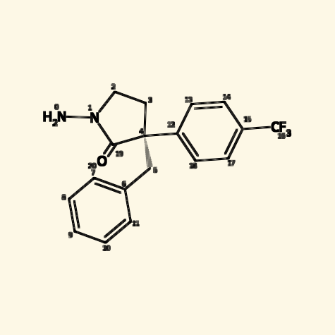 NN1CC[C@@](Cc2ccccc2)(c2ccc(C(F)(F)F)cc2)C1=O